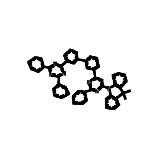 CC1(C)c2ccccc2N(c2cc(-c3cccc(-c4cccc(-c5nc(-c6ccccc6)nc(-c6ccccc6)n5)c4)c3)nc(-c3ccccc3)n2)c2ccccc21